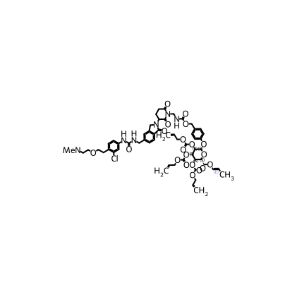 C=CCOC(=O)O[C@@H]1[C@@H](OC(=O)OCC=C)[C@H](Oc2ccc(COC(=O)NCN3C(=O)CCC(N4Cc5cc(CNC(=O)Nc6ccc(CCOCCNC)c(Cl)c6)ccc5C4=O)C3=O)cc2)O[C@H](C(=O)O/C=C/C)[C@H]1OC(=O)OCC=C